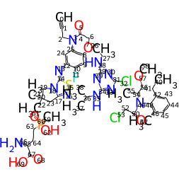 C#CCN1C(=O)COc2cc(F)c(/N=c3\snc4n3CC(C)(C)C4)cc21.CCNc1nc(Cl)nc(NC(C)C)n1.CCc1cccc(C)c1N(C(=O)CCl)C(C)COC.CP(=O)(O)CCC(N)C(=O)O